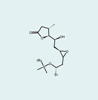 CC[C@@H](CC1O[C@@H]1C[C@H](O)[C@H]1OC(=O)C[C@@H]1C)O[Si](C)(C)C(C)(C)C